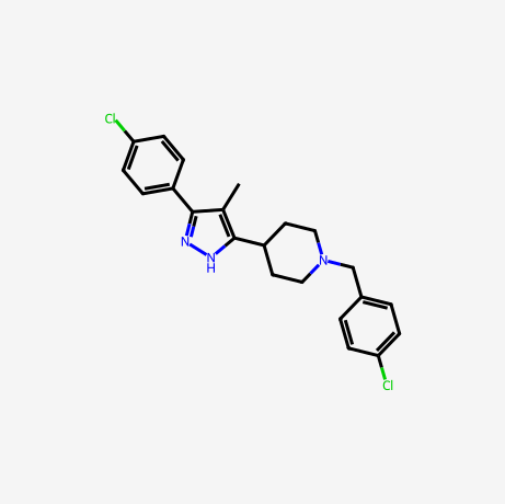 Cc1c(-c2ccc(Cl)cc2)n[nH]c1C1CCN(Cc2ccc(Cl)cc2)CC1